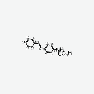 O=C(O)Nc1ccc(/C=C/c2ccccc2)cc1